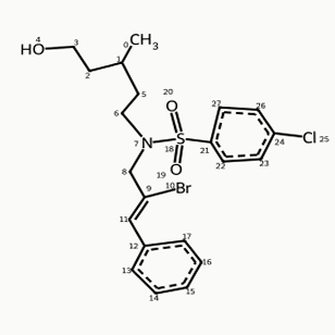 CC(CCO)CCN(CC(Br)=Cc1ccccc1)S(=O)(=O)c1ccc(Cl)cc1